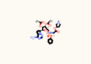 CC(C)C(=O)O[C@H]1[C@H](c2ccc3c(N)ncnn23)O[C@](C)(COP(=O)(N[C@@H](C)C(=O)O[C@@H]2CCN(C)C2)Oc2ccccc2)[C@H]1OC(=O)C(C)C